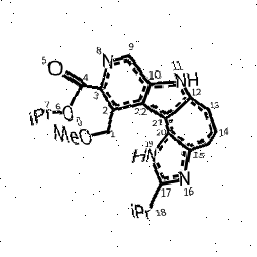 COCc1c(C(=O)OC(C)C)ncc2[nH]c3ccc4nc(C(C)C)[nH]c4c3c12